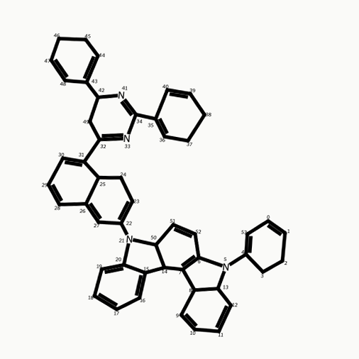 C1=CCCC(N2C3=C(C4C=CC=CC42)C2c4ccccc4N(C4=CCC5C(=C4)C=CC=C5C4=NC(C5=CCCC=C5)=NC(C5=CCCC=C5)C4)C2C=C3)=C1